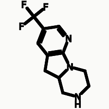 FC(F)(F)c1cnc2c(c1)CC1CNCCN21